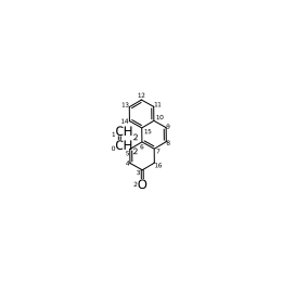 C=C.O=C1C=Cc2c(ccc3ccccc23)C1